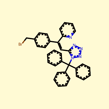 BrCc1ccc(/C(=C/c2nnnn2C(c2ccccc2)(c2ccccc2)c2ccccc2)c2ccccn2)cc1